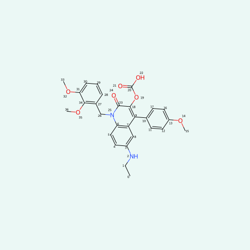 CCNc1ccc2c(c1)c(-c1ccc(OC)cc1)c(OC(=O)O)c(=O)n2Cc1cccc(OC)c1OC